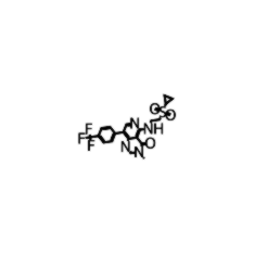 Cn1cnc2c(-c3ccc(C(F)(F)F)cc3)cnc(NCCS(=O)(=O)C3CC3)c2c1=O